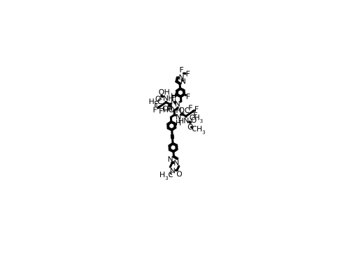 COC(=O)NC(C(=O)NC(Cc1ccc(C#Cc2ccc(-c3cn4c(n3)CN(C)C(=O)C4)cc2)cc1)C(O)CN(Cc1c(F)cc(-c2ccn(C(F)F)n2)cc1F)NC(=O)C(NC(=O)O)C(C)(C)C(F)(F)F)C(C)(C)C(F)(F)F